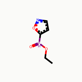 CCO[PH](=O)c1ccno1